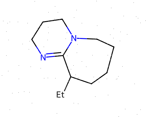 CCC1CCCCN2CCCN=C12